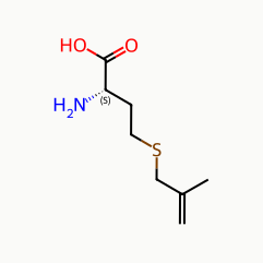 C=C(C)CSCC[C@H](N)C(=O)O